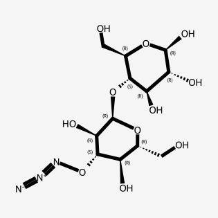 [N-]=[N+]=NO[C@@H]1[C@@H](O)[C@@H](O[C@H]2[C@H](O)[C@@H](O)[C@H](O)O[C@@H]2CO)O[C@H](CO)[C@H]1O